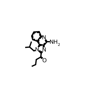 CCCC(=O)c1nc2c(N)nc3ccccc3c2n1CC(C)C